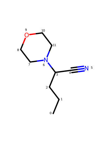 CCCC(C#N)N1CCOCC1